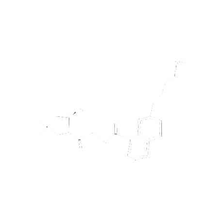 CNCCCOc1ccc2nccc(C(=O)NCC(=O)N3CC(F)(F)C[C@H]3C#N)c2c1